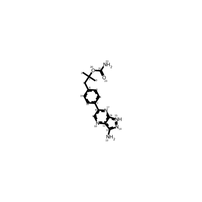 CC(C)(Cc1ccc(-c2cnc3c(N)n[nH]c3n2)cc1)OC(N)=O